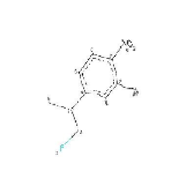 C[C](CF)c1ccc([N+](=O)[O-])c(C)c1